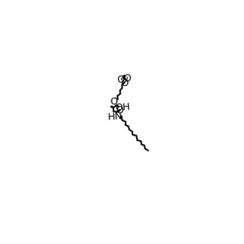 C=C(CC(=O)NCCCCCCCCCCCCCCC)C(O)OCCCCCCOS(C)(=O)=O